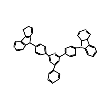 C1=Cc2c(c3cnccc3n2-c2ccc(-c3cc(-c4ccccc4)cc(-c4ccc(N5c6ccccc6C6C=NC=CC65)cc4)n3)cc2)CC1